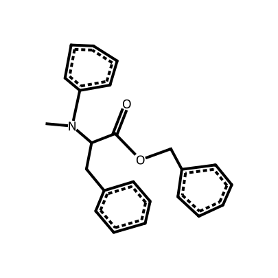 CN(c1ccccc1)C(Cc1ccccc1)C(=O)OCc1ccccc1